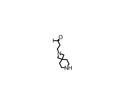 O=C(I)CCN1CC2(CCNCC2)C1